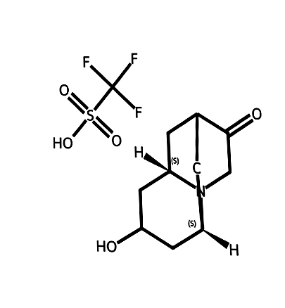 O=C1CN2[C@@H]3CC(O)C[C@@H]2CC1C3.O=S(=O)(O)C(F)(F)F